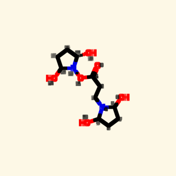 O=C(CCN1C(O)CCC1O)ON1C(O)CC[C@@H]1O